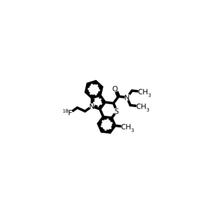 CCN(CC)C(=O)C1Sc2c(C)cccc2-c2c1c1ccccc1n2CC[18F]